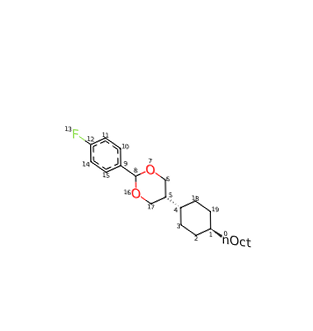 CCCCCCCC[C@H]1CC[C@H](C2COC(c3ccc(F)cc3)OC2)CC1